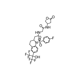 O=C(CC1CCc2cc(C(O)(C(F)(F)F)C(F)(F)F)ccc2N1S(=O)(=O)c1ccc(F)cc1)NCC(=O)NC1COC(=O)C1